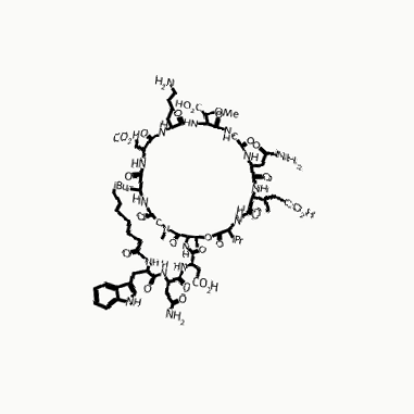 CCC(C)CCCCCCC(=O)NC(Cc1c[nH]c2ccccc12)C(=O)NC(CC(N)=O)C(=O)NC(CC(=O)O)C(=O)NC1C(=O)N(C)CC(=O)NC(C)C(=O)NC(CC(=O)O)C(=O)NC(CCCCN)C(=O)NC(C(OC)C(=O)O)C(=O)NCC(=O)NC(CC(N)=O)C(=O)NC(C(C)CC(=O)O)C(=O)NC(C(C)C)C(=O)OC1C